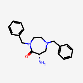 N[C@H]1CN(Cc2ccccc2)CCN(Cc2ccccc2)C1=O